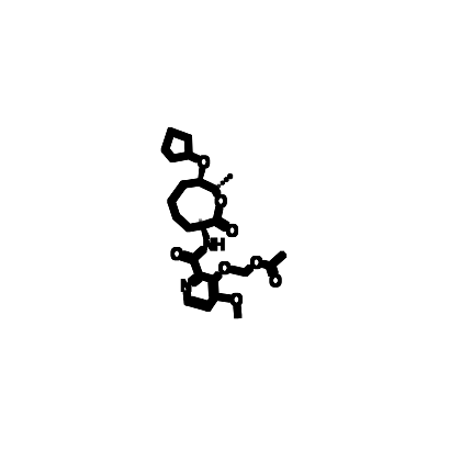 COc1ccnc(C(=O)N[C@H]2CCCC[C@@H](OC3CCCC3)[C@H](C)OC2=O)c1OCOC(C)=O